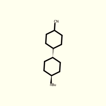 CCCC[C@H]1CC[C@H](C2CCC(C#N)CC2)CC1